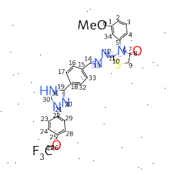 COc1cccc(N2C(=O)CS/C2=N\N=C\c2ccc(C3=NN(c4ccc(OC(F)(F)F)cc4)CN3)cc2)c1